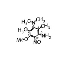 COc1c(C)c(N(C)C)c(C)c(N)c1N=O